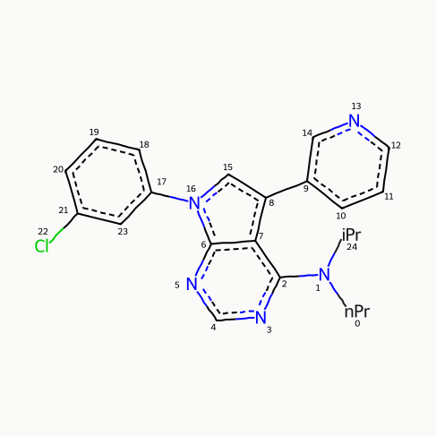 CCCN(c1ncnc2c1c(-c1cccnc1)cn2-c1cccc(Cl)c1)C(C)C